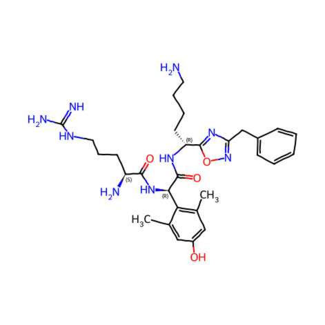 Cc1cc(O)cc(C)c1[C@@H](NC(=O)[C@@H](N)CCCNC(=N)N)C(=O)N[C@H](CCCCN)c1nc(Cc2ccccc2)no1